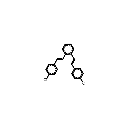 Clc1ccc(/C=C/c2ccccc2/C=C/c2ccc(Cl)cc2)cc1